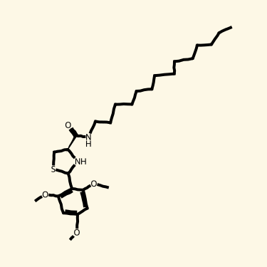 CCCCCCCCCCCCCCNC(=O)[C@@H]1CSC(c2c(OC)cc(OC)cc2OC)N1